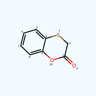 O=C1[C]Sc2ccccc2O1